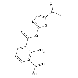 Nc1c(C(=O)O)cccc1C(=O)Nc1ncc([N+](=O)[O-])s1